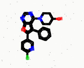 OC1CCN(c2ncnc3oc(-c4ccc(Cl)nc4)c(-c4ccccc4)c23)CC1